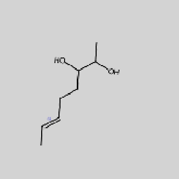 C/C=C/CCC(O)C(C)O